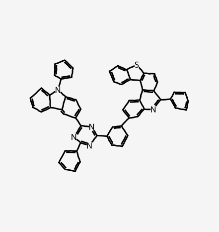 c1ccc(-c2nc(-c3cccc(-c4ccc5c(c4)nc(-c4ccccc4)c4ccc6sc7ccccc7c6c45)c3)nc(-c3ccc4c(c3)c3ccccc3n4-c3ccccc3)n2)cc1